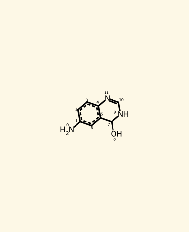 Nc1ccc2c(c1)C(O)NC=N2